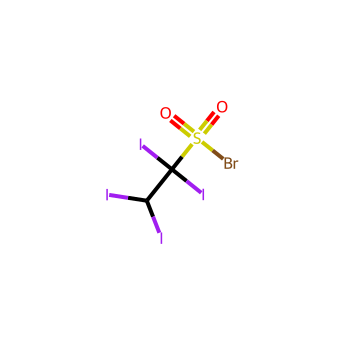 O=S(=O)(Br)C(I)(I)C(I)I